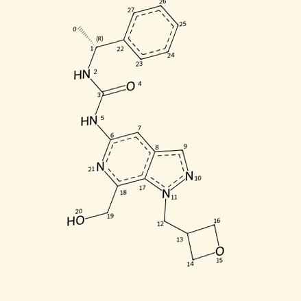 C[C@@H](NC(=O)Nc1cc2cnn(CC3COC3)c2c(CO)n1)c1ccccc1